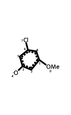 COc1cc([O])cc(Cl)c1